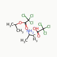 CC(C)N.CC(C)OC(=O)C(Cl)(Cl)Cl.O=C(O)C(Cl)(Cl)Cl